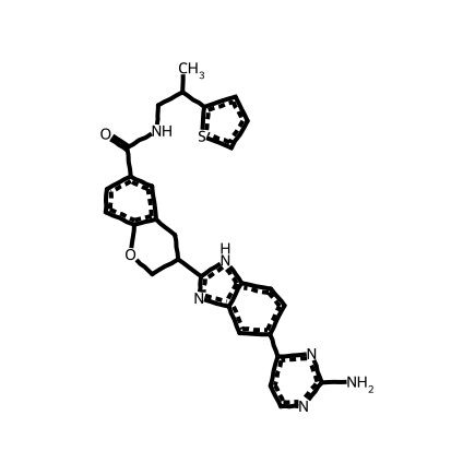 CC(CNC(=O)c1ccc2c(c1)CC(c1nc3cc(-c4ccnc(N)n4)ccc3[nH]1)CO2)c1cccs1